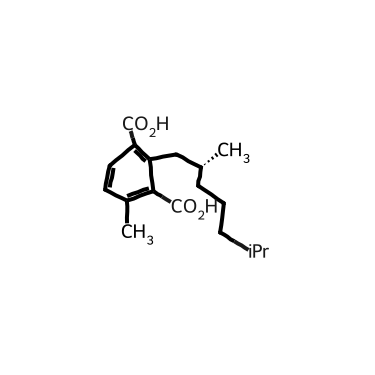 Cc1ccc(C(=O)O)c(C[C@H](C)CCCC(C)C)c1C(=O)O